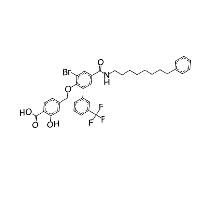 O=C(NCCCCCCCCc1ccccc1)c1cc(Br)c(OCc2ccc(C(=O)O)c(O)c2)c(-c2cccc(C(F)(F)F)c2)c1